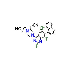 N#CC[C@H]1CN(c2nc(F)nc3c(F)c(-c4cccc5cccc(Cl)c45)ccc23)CCN1C(=O)O